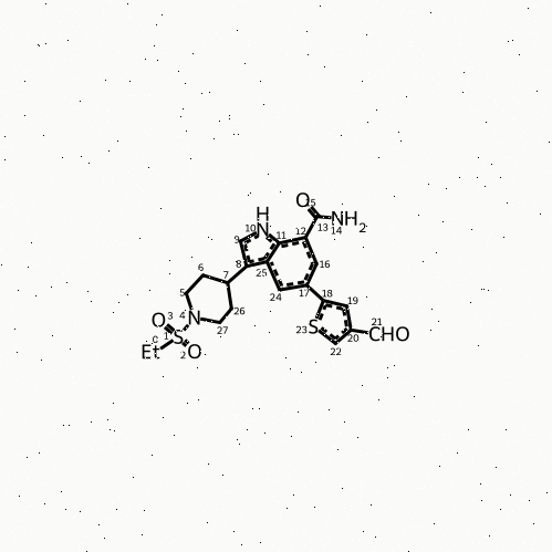 CCS(=O)(=O)N1CCC(c2c[nH]c3c(C(N)=O)cc(-c4cc(C=O)cs4)cc23)CC1